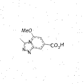 COc1cc(C(=O)O)cc2nnc(C)n12